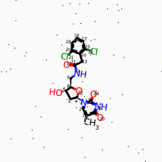 Cc1cn([C@H]2C[C@H](O)[C@@H](CNC(=O)Cc3c(Cl)cccc3Cl)O2)c(=O)[nH]c1=O